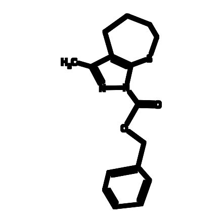 Cc1nn(C(=O)OCc2ccccc2)c2c1CCCCS2